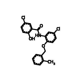 Cc1ccccc1COc1ccc(Cl)cc1NC(=O)c1cc(Cl)ccc1O